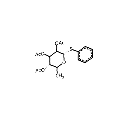 CC(=O)OC1C(OC(C)=O)[C@H](Sc2ccccc2)OC(C)[C@@H]1OC(C)=O